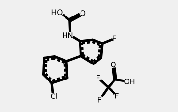 O=C(O)C(F)(F)F.O=C(O)Nc1cc(F)ccc1-c1cccc(Cl)c1